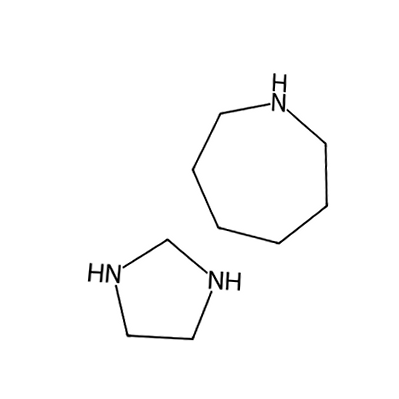 C1CCCNCC1.C1CNCN1